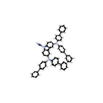 N#Cn1c2ccc(N(c3ccc(-c4ccccc4)cc3)c3ccc(-c4ccccc4)cc3)cc2c2cc(N(c3ccc(-c4ccccc4)cc3)c3ccc(-c4ccccc4)cc3)ccc21